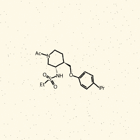 CCS(=O)(=O)N[C@@H]1CN(C(C)=O)CC[C@H]1COc1ccc(C(C)C)cc1